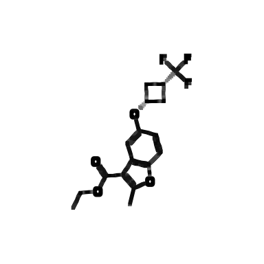 CCOC(=O)c1c(C)oc2ccc(O[C@H]3C[C@@H](C(F)(F)F)C3)cc12